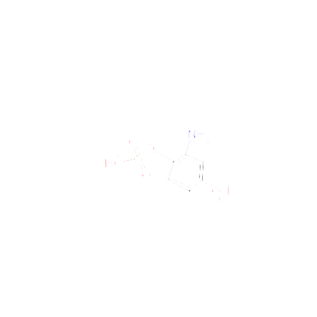 Nc1cc(O)ccc1OS(=O)(=O)O